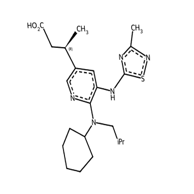 Cc1nsc(Nc2cc([C@H](C)CC(=O)O)cnc2N(CC(C)C)C2CCCCC2)n1